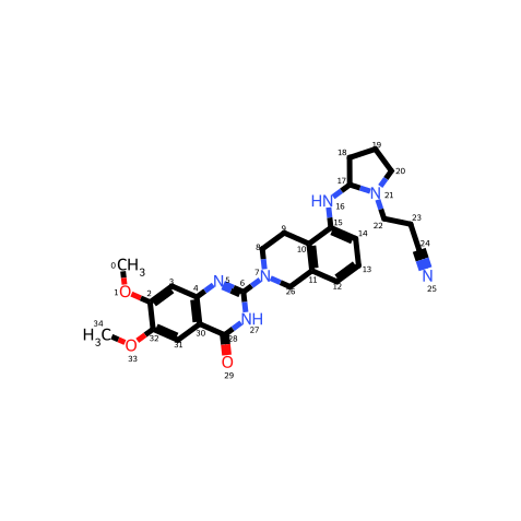 COc1cc2nc(N3CCc4c(cccc4NC4CCCN4CCC#N)C3)[nH]c(=O)c2cc1OC